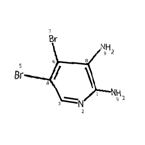 Nc1ncc(Br)c(Br)c1N